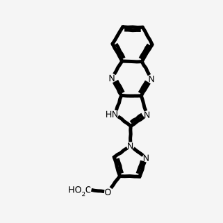 O=C(O)Oc1cnn(-c2nc3nc4ccccc4nc3[nH]2)c1